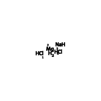 Cl.Cl.[MgH2].[NaH]